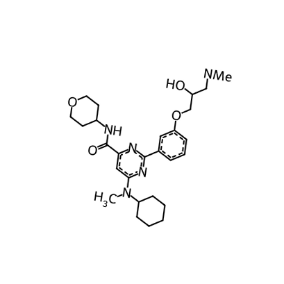 CNCC(O)COc1cccc(-c2nc(C(=O)NC3CCOCC3)cc(N(C)C3CCCCC3)n2)c1